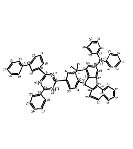 CC1(C)c2cc(C3=NC(c4cccc(-c5ccccc5)c4)=NC(c4ccccc4)N3)ccc2-n2c3ccc4ccccc4c3c3cc(N(c4ccccc4)c4ccccc4)cc1c32